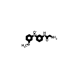 CSc1cccc([S+]([O-])c2cccc(NC(=O)CN)c2)c1